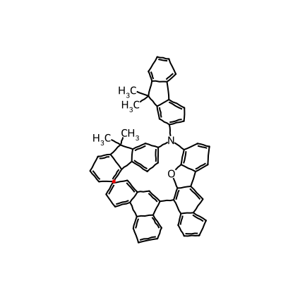 CC1(C)c2ccccc2-c2ccc(N(c3ccc4c(c3)C(C)(C)c3ccccc3-4)c3cccc4c3oc3c(-c5cc6ccccc6c6ccccc56)c5ccccc5cc34)cc21